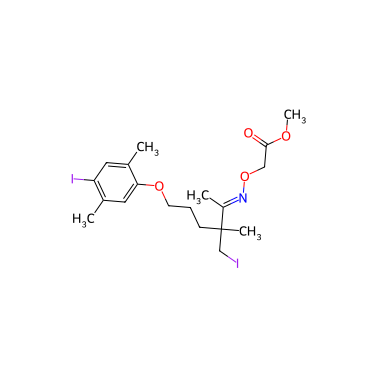 COC(=O)CO/N=C(\C)C(C)(CI)CCCOc1cc(C)c(I)cc1C